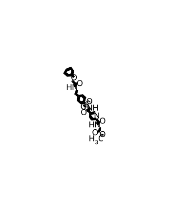 COC(=O)CNC(=O)c1ccc(C(=O)NS(=O)(=O)c2ccc(CCNC(=O)COc3ccccc3)cc2)cn1